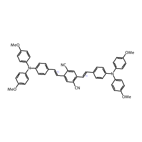 COc1ccc(N(c2ccc(/C=C/c3cc(C#N)c(/C=C/c4ccc(N(c5ccc(OC)cc5)c5ccc(OC)cc5)cc4)cc3C#N)cc2)c2ccc(OC)cc2)cc1